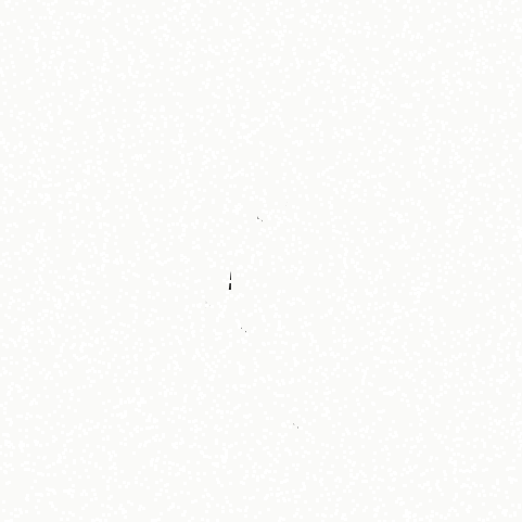 O=C(c1ccc(F)cc1)N1CCC[C@H](c2cn(-c3ccc([N+](=O)[O-])cc3)cn2)C1